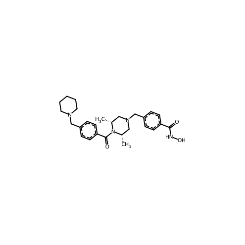 C[C@@H]1CN(Cc2ccc(C(=O)NO)cc2)C[C@H](C)N1C(=O)c1ccc(CN2CCCCC2)cc1